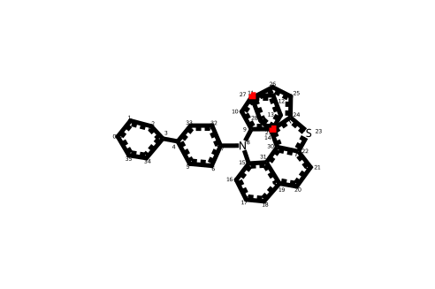 c1ccc(-c2ccc(N(c3ccccc3)c3cccc4ccc5sc6ccccc6c5c34)cc2)cc1